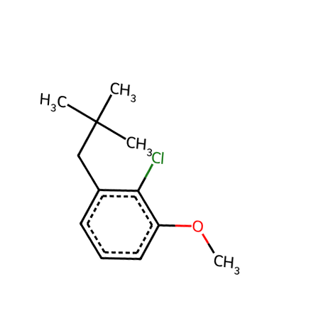 COc1cccc(CC(C)(C)C)c1Cl